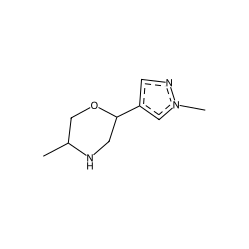 CC1COC(c2cnn(C)c2)CN1